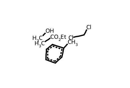 CCOC(C)=O.CO.Cc1ccccc1.ClCCl